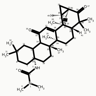 CN(C)C(=O)N[C@]12CCC(C)(C)CC1C1C(=O)C=C3[C@@]4(C)[C@H]5C[C@@]5(C#N)C(=O)C(C)(C)[C@@H]4CC[C@@]3(C)[C@]1(C)CC2